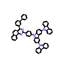 c1ccc(-c2cccc(-c3nc(-c4ccc(-n5c6ccc(-n7c8ccccc8c8ccccc87)cc6c6cc(-n7c8ccccc8c8ccccc87)ccc65)cc4)nc4c3ccc3ccccc34)c2)cc1